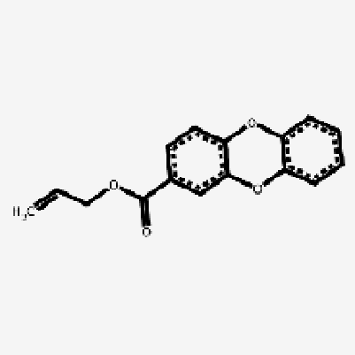 C=CCOC(=O)c1ccc2c(c1)Oc1ccccc1O2